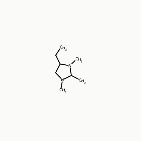 CCC1CN(C)C(C)N1C